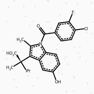 Cc1c([C@](C)(C(=O)O)C(C)C)c2cc(O)ccc2n1C(=O)c1ccc(Cl)c(F)c1